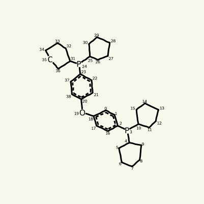 c1cc(P(C2CCCCC2)C2CCCCC2)ccc1Oc1ccc(P(C2CCCCC2)C2CCCCC2)cc1